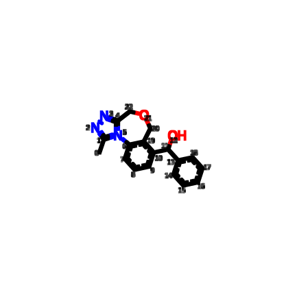 Cc1nnc2n1-c1cccc(C(O)c3ccccc3)c1COC2